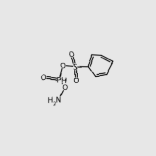 NO[PH](=O)OS(=O)(=O)c1ccccc1